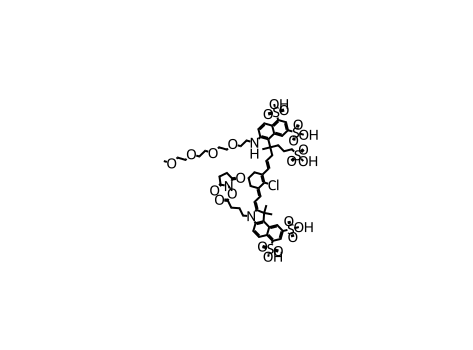 COCCOCCOCCOCCNc1ccc2c(S(=O)(=O)O)cc(S(=O)(=O)O)cc2c1C(C)(C/C=C/C1=C(Cl)C(=C/C=C2/N(CCCC(=O)ON3C(=O)CCC3=O)c3ccc4c(S(=O)(=O)O)cc(S(=O)(=O)O)cc4c3C2(C)C)/CCC1)CCCS(=O)(=O)O